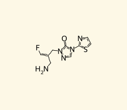 NC/C(=C/F)Cn1ncn(-c2nccs2)c1=O